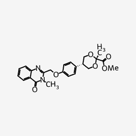 COC(=O)[C@]1(C)OC[C@H](c2ccc(OCc3nc4ccccc4c(=O)n3C)cc2)CO1